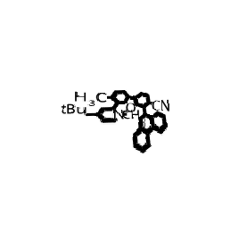 Cc1ccc2c(oc3c(-c4cc5ccccc5c5ccccc45)c(C#N)ccc32)c1-c1cc(CC(C)(C)C)cc[n+]1C